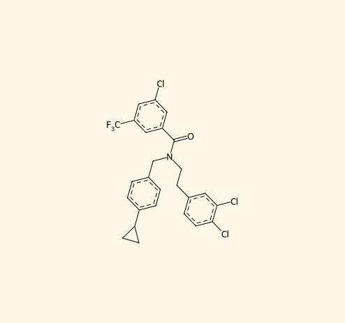 O=C(c1cc(Cl)cc(C(F)(F)F)c1)N(CCc1ccc(Cl)c(Cl)c1)Cc1ccc(C2CC2)cc1